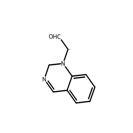 O=C[CH]N1CN=Cc2ccccc21